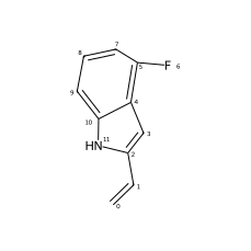 C=Cc1cc2c(F)cccc2[nH]1